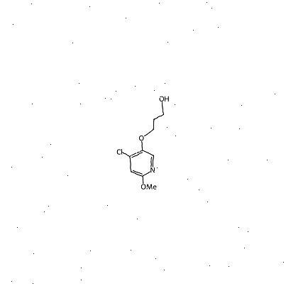 COc1cc(Cl)c(OCCCO)cn1